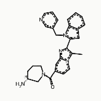 Cc1c(-c2cc3ccccc3n2Cc2cccnc2)nc2cc(C(=O)N3CCC[C@@H](N)C3)ccn12